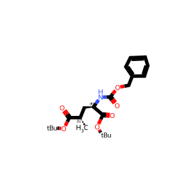 C[C@@H](C[C@@H](NC(=O)OCc1ccccc1)C(=O)OC(C)(C)C)C(=O)OC(C)(C)C